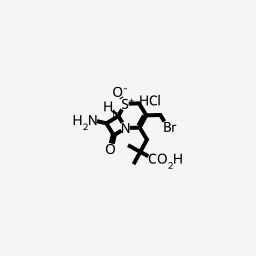 CC(C)(CC1=C(CBr)C[S+]([O-])[C@H]2C(N)C(=O)N12)C(=O)O.Cl